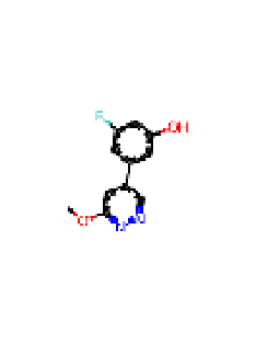 COc1cc(-c2cc(O)cc(F)c2)cnn1